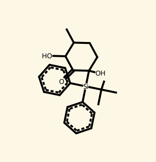 CC1CCC(O)([Si](c2ccccc2)(c2ccccc2)C(C)(C)C)C(=O)C1O